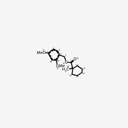 COc1ccc(COC(=O)C2(C)CCCCC2)c(OC)c1